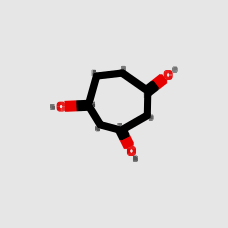 O=C1CCC(=O)CC(=O)C1